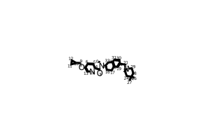 CN(C(=O)c1ccc(OCC2CC2)cn1)[C@H]1CCc2cc(CN3CCC(C)(C)CC3)ccc2C1